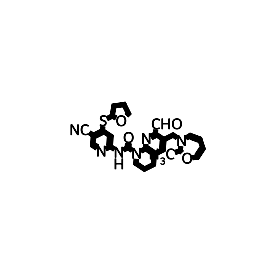 CC1OC=CC=CN1Cc1cc2c(nc1C=O)N(C(=O)Nc1cc(SC3CCCO3)c(C#N)cn1)CCC2